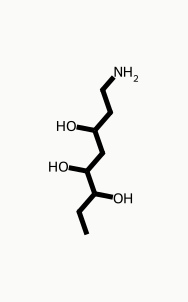 CCC(O)C(O)CC(O)CCN